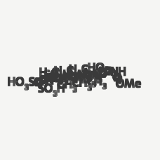 COc1ccc(Nc2ccc3c(O)c(N=Nc4cc(C)c(N=Nc5cc(C)c(N=Nc6cc(C)c(N=Nc7cc8c(S(=O)(=O)O)cc(S(=O)(=O)O)cc8cc7S(=O)(=O)O)cc6C)cc5C)cc4C)c(S(=O)(=O)O)cc3c2)cc1